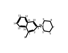 Cc1cc(N2CCCCC2)cc2ccccc12